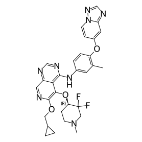 Cc1cc(Nc2ncnc3cnc(OCC4CC4)c(O[C@@H]4CCN(C)CC4(F)F)c23)ccc1Oc1ccn2ncnc2c1